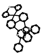 c1ccc(-c2nc(-c3ccccc3)nc(-c3cccc4c3-c3c(-c5nc6ccccc6s5)cccc3C43c4ccccc4Oc4ccccc43)n2)cc1